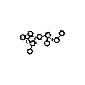 CC1(C)c2ccccc2-c2cccc(N(c3ccc(-c4ccccc4)cc3)c3ccc(-c4cccc5c4c4ccccc4n5-c4cccc(-c5ccccc5)c4)cc3)c21